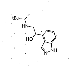 C[C@H](NC[C@H](O)c1cccc2[nH]ncc12)C(C)(C)C